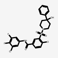 O=C(Nc1cc(F)c(F)c(Cl)c1)c1ccc(Cl)c(S(=O)(=O)N2CCC(O)(c3ccccc3)CC2)c1